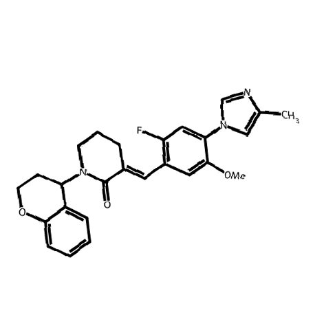 COc1cc(/C=C2\CCCN(C3CCOc4ccccc43)C2=O)c(F)cc1-n1cnc(C)c1